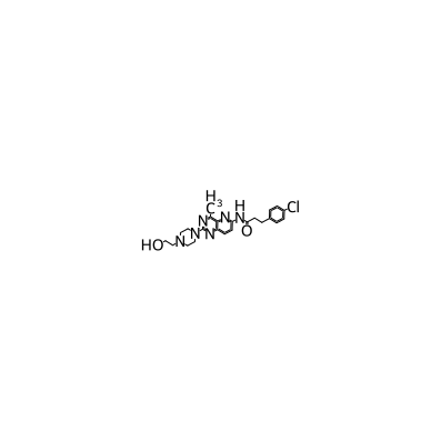 Cc1nc(N2CCN(CCO)CC2)nc2ccc(NC(=O)CCc3ccc(Cl)cc3)nc12